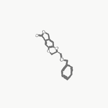 O=C1OCc2cc3c(cc21)OC[C@H](COCc1ccccc1)O3